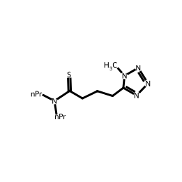 CCCN(CCC)C(=S)CCCc1nnnn1C